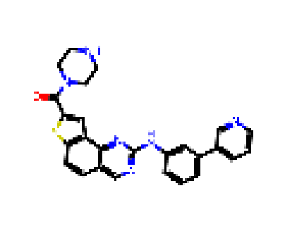 O=C(c1cc2c(ccc3cnc(Nc4cccc(-c5cccnc5)c4)nc32)s1)N1CCNCC1